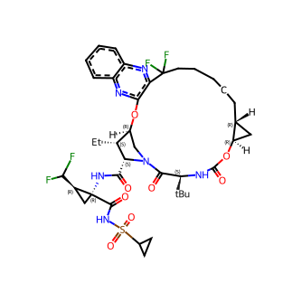 CC[C@@H]1[C@@H]2CN(C(=O)[C@H](C(C)(C)C)NC(=O)O[C@@H]3C[C@H]3CCCCCC(F)(F)c3nc4ccccc4nc3O2)[C@@H]1C(=O)N[C@]1(C(=O)NS(=O)(=O)C2CC2)C[C@H]1C(F)F